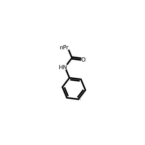 CCCC(=O)Nc1cc[c]cc1